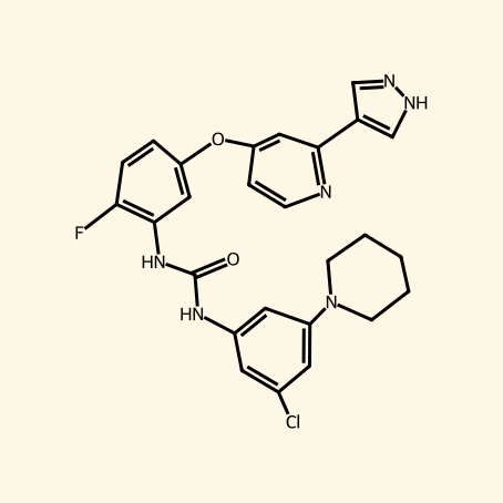 O=C(Nc1cc(Cl)cc(N2CCCCC2)c1)Nc1cc(Oc2ccnc(-c3cn[nH]c3)c2)ccc1F